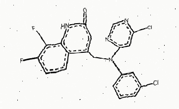 O=c1cc(CN(c2cccc(Cl)c2)c2cc(Cl)ncn2)c2ccc(F)c(F)c2[nH]1